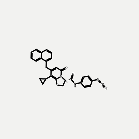 [N-]=[N+]=Nc1ccc(NC(=O)[C@@H]2CSc3c(C4CC4)c(Cc4cccc5ccccc45)cc(=O)n32)cc1